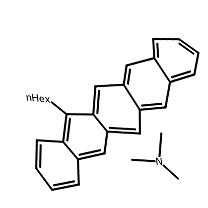 CCCCCCc1c2ccccc2cc2cc3cc4ccccc4cc3cc12.CN(C)C